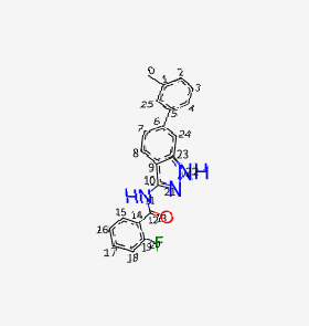 Cc1cccc(-c2ccc3c(NC(=O)c4ccccc4F)n[nH]c3c2)c1